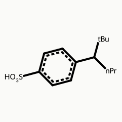 CCCC(c1ccc(S(=O)(=O)O)cc1)C(C)(C)C